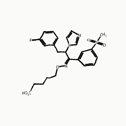 CS(=O)(=O)c1cccc(/C(=N/OCCCCC(=O)O)C(Cc2cccc(F)c2)n2ccnc2)c1